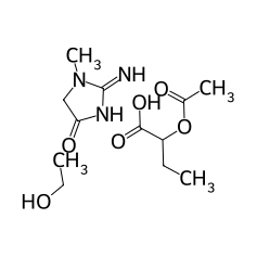 CCC(OC(C)=O)C(=O)O.CCO.CN1CC(=O)NC1=N